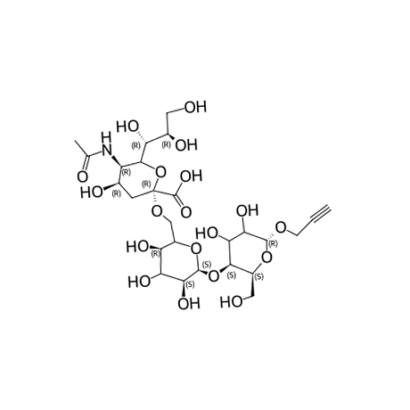 C#CCO[C@@H]1O[C@@H](CO)[C@@H](O[C@@H]2OC(CO[C@]3(C(=O)O)C[C@@H](O)[C@@H](NC(C)=O)C([C@H](O)[C@H](O)CO)O3)[C@H](O)C(O)[C@@H]2O)C(O)C1O